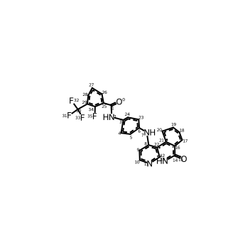 O=C(Nc1ccc(Nc2ccnc3[nH]c(=O)c4ccccc4c23)cc1)c1cccc(C(F)(F)F)c1F